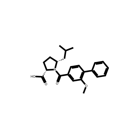 COc1cc(C(=O)N2[C@@H](CC(C)C)CC[C@H]2C(=O)O)ccc1-c1ccccc1